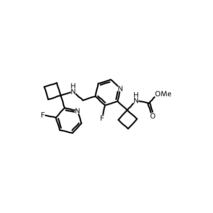 COC(=O)NC1(c2nccc(CNC3(c4ncccc4F)CCC3)c2F)CCC1